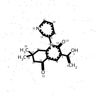 C=C(O)c1cc2c(n(-c3cccnc3)c1=O)CC(C)(C)CC2=O